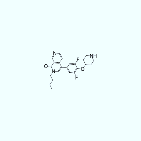 CCCCn1cc(-c2cc(F)c(OC3CCNCC3)c(F)c2)c2ccncc2c1=O